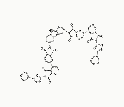 O=C1c2ccc(-c3cccc4c3C(=O)N(c3nnc(-c5ccccc5)o3)C4=O)cc2C(=O)N1c1ccc2[nH]c3ccc(N4C(=O)c5ccc(-c6cccc7c6C(=O)N(c6nnc(-c8ccccc8)o6)C7=O)cc5C4=O)cc3c2c1